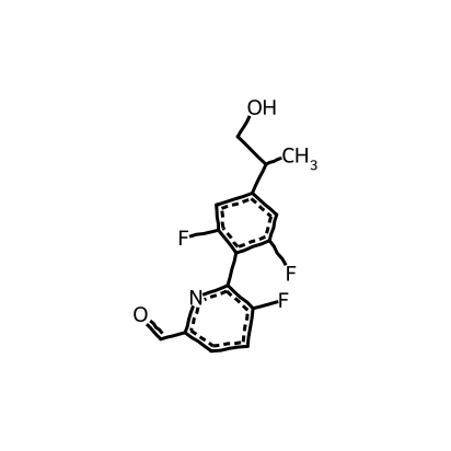 CC(CO)c1cc(F)c(-c2nc(C=O)ccc2F)c(F)c1